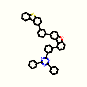 c1ccc(-c2nc(-c3ccccc3)nc(-c3cccc(-c4cccc5oc6ccc(-c7cccc(-c8ccc9sc%10ccccc%10c9c8)c7)cc6c45)c3)n2)cc1